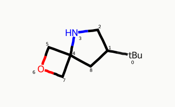 CC(C)(C)C1CNC2(COC2)C1